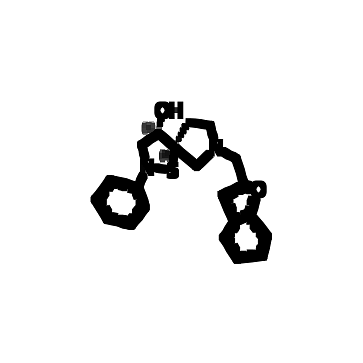 O[C@H]1CN(c2ccccc2)S[C@@]12CCN(Cc1cc3ccccc3o1)C2